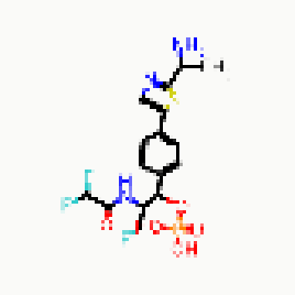 CC(N)c1ncc(-c2ccc(C(OP(=O)(O)O)C(CF)NC(=O)C(F)F)cc2)s1